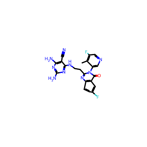 Cc1c(F)cncc1-n1c(CCNc2nc(N)nc(N)c2C#N)nc2ccc(F)cc2c1=O